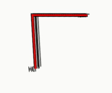 Cl.Cl.Cl.Cl.Cl.Cl.Cl.[Na+].[Na+].[Na+].[Na+].[Na+].[Na+].[Na+].[Na+].[Na+].[Na+].[Na+].[Na+].[Na+].[Na+].[Na+].[Na+].[Na+].[Na+].[Na+].[Na+].[Na+].[Na+].[Na+].[Na+].[Na+].[Na+].[Na+].[Na+].[Na+].[Na+].[Na+].[Na+].[Na+].[Na+].[Na+].[Na+].[Na+].[Na+].[Na+].[Na+].[Na+].[Na+].[Na+].[Na+].[Na+].[Na+].[Na+].[Na+].[Na+].[Na+].[Na+].[Na+].[Na+].[Na+].[Na+].[Na+].[Na+].[Na+].[Na+].[Na+].[Na+].[Na+].[Na+].[Na+].[Na+].[Na+].[Na+].[Na+].[Na+].[Na+].[Na+].[Na+].[Na+].[Na+].[Na+].[Na+].[Na+].[Na+].[Na+].[Na+].[Na+].[Na+].[Na+].[Na+].[Na+].[Na+].[Na+].[Na+].[Na+].[Na+].[Na+].[Na+].[Na+].[Na+].[Na+].[Na+].[Na+].[Na+].[Na+].[Na+].[Na+].[Na+].[Na+].[Na+].[Na+].[Na+].[Na+].[Na+].[Na+].[Na+].[Na+].[Na+].[Na+].[Na+]